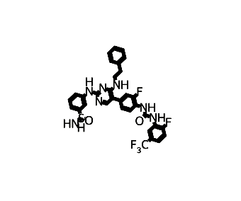 N=[SH](=O)c1cccc(Nc2ncc(-c3ccc(NC(=O)Nc4cc(C(F)(F)F)ccc4F)c(F)c3)c(NCCc3ccccc3)n2)c1